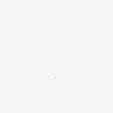 Clc1ccc(C(CC[CH2][SnH])c2ccc(Cl)cc2)cc1